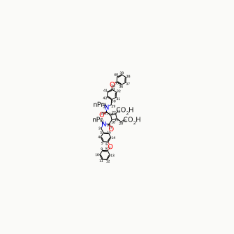 CCCN(Cc1ccc(Oc2ccccc2)cc1)C(=O)C1C(CC(=O)O)C(C(=O)O)C1C(=O)N(CCC)Cc1ccc(Oc2ccccc2)cc1